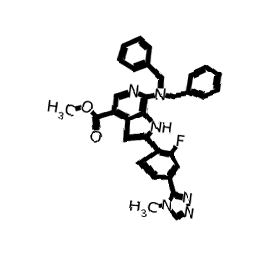 COC(=O)c1cnc(N(Cc2ccccc2)Cc2ccccc2)c2[nH]c(-c3ccc(-c4nncn4C)cc3F)cc12